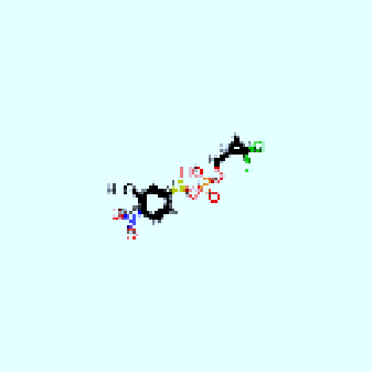 Cc1cc(SOP(=O)(O)OCC2CC2(Cl)Cl)ccc1[N+](=O)[O-]